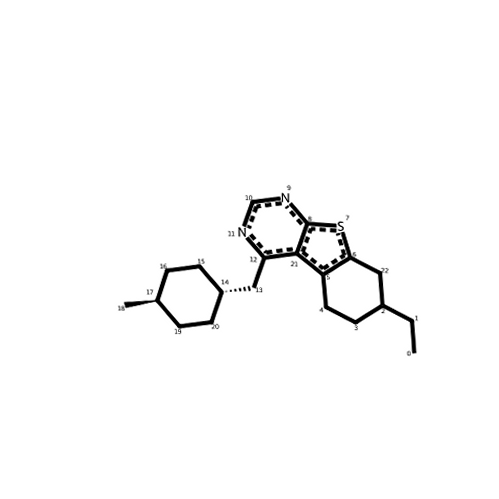 CCC1CCc2c(sc3ncnc(C[C@H]4CC[C@H](C)CC4)c23)C1